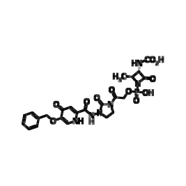 C[C@H]1[C@H](NC(=O)O)C(=O)N1P(=O)(O)OCC(=O)N1CCN(NC(=O)c2cc(=O)c(OCc3ccccc3)c[nH]2)C1=O